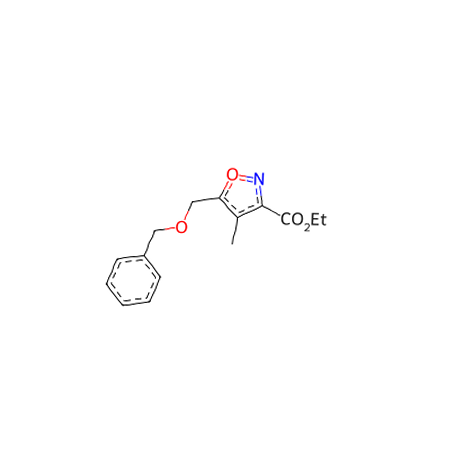 CCOC(=O)c1noc(COCc2ccccc2)c1C